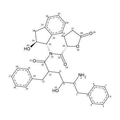 NC(Cc1ccccc1)C(O)CC(Cc1ccccc1)C(=O)N(C(=O)[C@@H]1CCC(=O)O1)[C@H]1c2ccccc2C[C@@H]1O